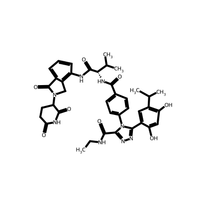 CCNC(=O)c1nnc(-c2cc(C(C)C)c(O)cc2O)n1-c1ccc(C(=O)N[C@H](C(=O)Nc2cccc3c2CN(C2CCC(=O)NC2=O)C3=O)C(C)C)cc1